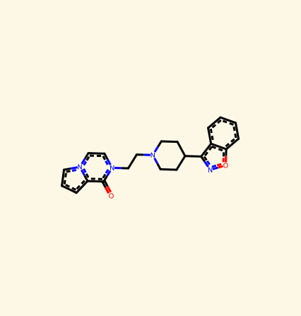 O=c1c2cccn2ccn1CCN1CCC(c2noc3ccccc23)CC1